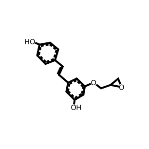 Oc1ccc(C=Cc2cc(O)cc(OCC3CO3)c2)cc1